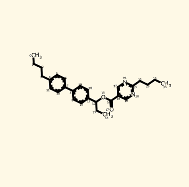 CCCCc1ccc(-c2ccc(C(CC)OC(=O)c3cnc(CCCC)nc3)cc2)cc1